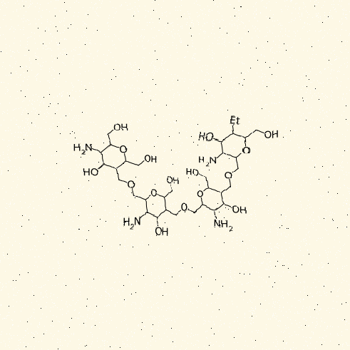 CCC1C(CO)OC(COCC2C(CO)OC(COCC3C(CO)OC(COCC4C(CO)OC(CO)C(N)C4O)C(N)C3O)C(N)C2O)C(N)C1O